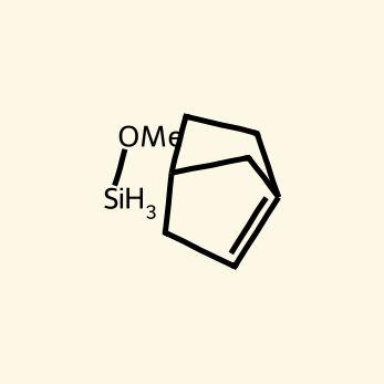 C1=C2CCC(C1)C2.CO[SiH3]